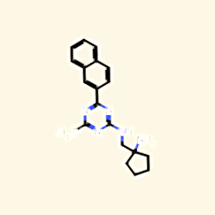 NC1(CNc2nc(-c3ccc4ccccc4c3)nc(C(Cl)(Cl)Cl)n2)CCCC1